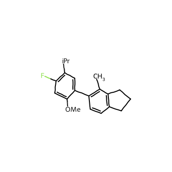 COc1cc(F)c(C(C)C)cc1-c1ccc2c(c1C)CCC2